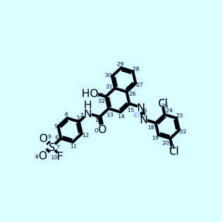 O=C(Nc1ccc(S(=O)(=O)F)cc1)c1cc(/N=N/c2cc(Cl)ccc2Cl)c2ccccc2c1O